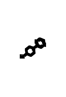 CCC1CCN(c2cnccn2)CC1